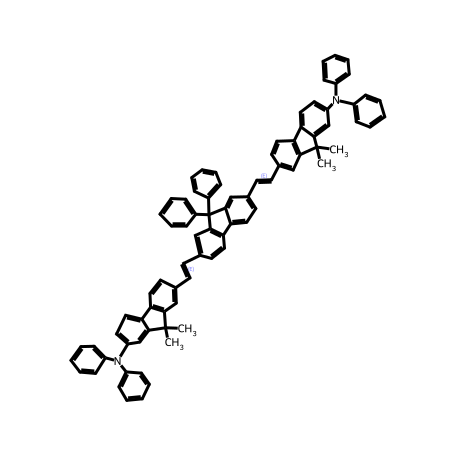 CC1(C)c2cc(/C=C/c3ccc4c(c3)C(c3ccccc3)(c3ccccc3)c3cc(/C=C/c5ccc6c(c5)C(C)(C)c5cc(N(c7ccccc7)c7ccccc7)ccc5-6)ccc3-4)ccc2-c2ccc(N(c3ccccc3)c3ccccc3)cc21